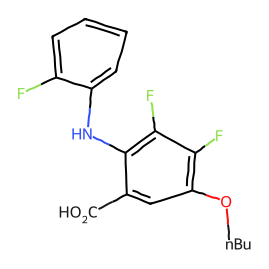 CCCCOc1cc(C(=O)O)c(Nc2ccccc2F)c(F)c1F